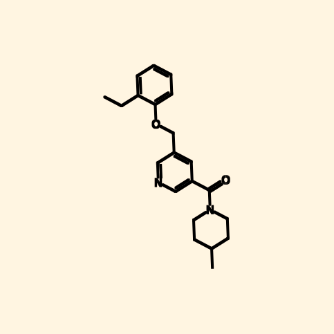 CCc1ccccc1OCc1cncc(C(=O)N2CCC(C)CC2)c1